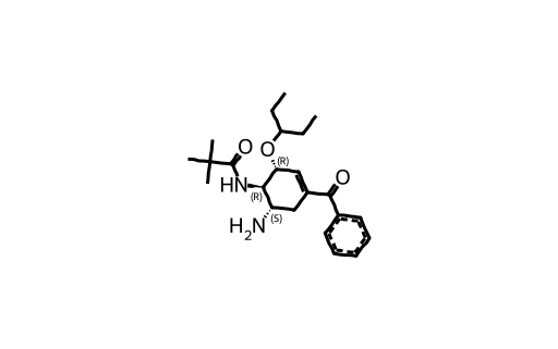 CCC(CC)O[C@@H]1C=C(C(=O)c2ccccc2)C[C@H](N)[C@H]1NC(=O)C(C)(C)C